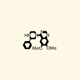 COc1cc2ncnc(N3CCN[C@H](c4ccccc4)C3)c2cc1OC